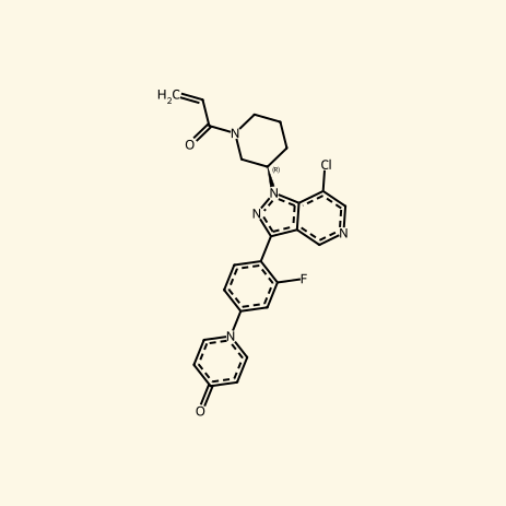 C=CC(=O)N1CCC[C@@H](n2nc(-c3ccc(-n4ccc(=O)cc4)cc3F)c3cncc(Cl)c32)C1